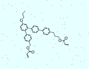 C=CC(=O)OCCCc1ccc(-c2ccc(-c3cc(OCCC)ccc3-c3ccc(COC(=O)C=C)cc3)cc2)cc1